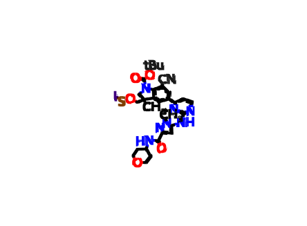 Cn1nc(C(=O)NC2CCOCC2)cc1Nc1nccc(-c2cc(C#N)c3c(c2)C(C)(COSI)CN3C(=O)OC(C)(C)C)n1